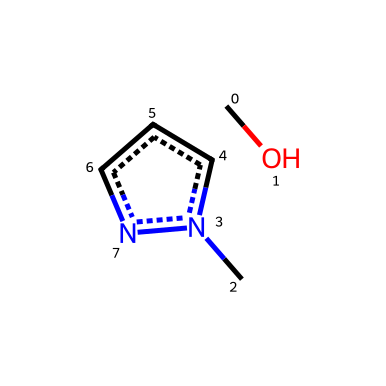 CO.Cn1cccn1